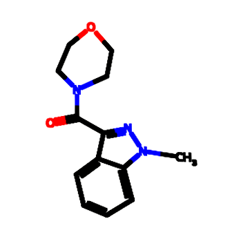 Cn1nc(C(=O)N2CCOCC2)c2ccccc21